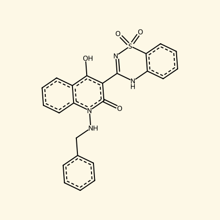 O=c1c(C2=NS(=O)(=O)c3ccccc3N2)c(O)c2ccccc2n1NCc1ccccc1